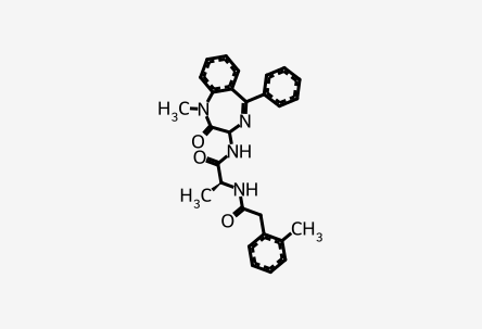 Cc1ccccc1CC(=O)N[C@@H](C)C(=O)NC1N=C(c2ccccc2)c2ccccc2N(C)C1=O